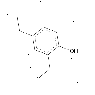 [CH2]Cc1cc(CC)ccc1O